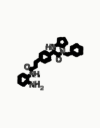 Nc1ccccc1NC(=O)/C=C/c1ccc(C(NC2CCCC2)C(=O)NCc2ccccc2)cc1